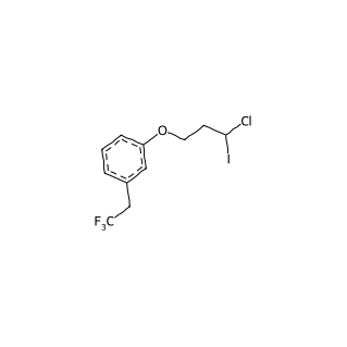 FC(F)(F)Cc1cccc(OCCC(Cl)I)c1